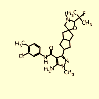 Cc1ccc(NC(=O)c2c(C3CC4CC5(CC4C3)CN(I)C(C(C)(C)F)O5)nn(C)c2N)cc1Cl